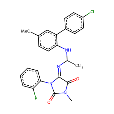 COc1ccc(NC(N=C2C(=O)N(C)C(=O)N2c2ccccc2F)C(Cl)(Cl)Cl)c(-c2ccc(Cl)cc2)c1